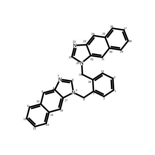 c1ccc(Cn2cnc3cc4ccccc4cc32)c(Cn2cnc3cc4ccccc4cc32)c1